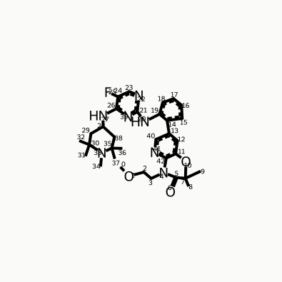 COCCN1C(=O)C(C)(C)Oc2cc(-c3ccccc3Nc3ncc(F)c(NC4CC(C)(C)N(C)C(C)(C)C4)n3)cnc21